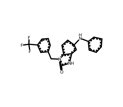 O=c1[nH]c2cc(Nc3ccccc3)ccc2n1Cc1cccc(C(F)(F)F)c1